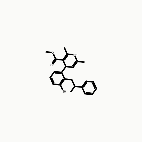 COC(=O)C1=C(C)NC(C)=CC1c1cccc(S)c1CC(C)c1ccccc1